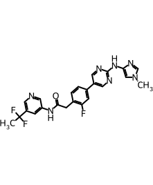 Cn1cnc(Nc2ncc(-c3ccc(CC(=O)Nc4cncc(C(C)(F)F)c4)c(F)c3)cn2)c1